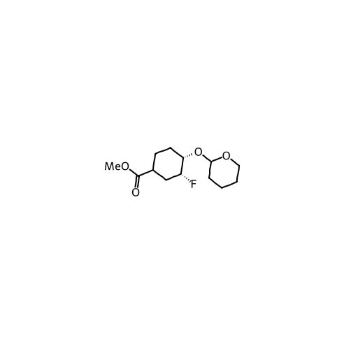 COC(=O)C1CC[C@H](OC2CCCCO2)[C@H](F)C1